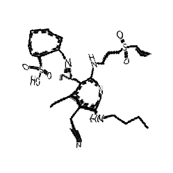 C=CS(=O)(=O)CCNc1nc(NCCCC)c(C#N)c(C)c1/N=N/c1ccccc1S(=O)(=O)O